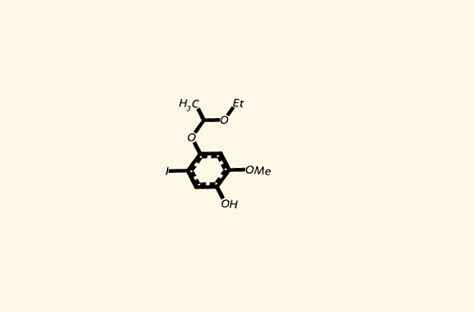 CCOC(C)Oc1cc(OC)c(O)cc1I